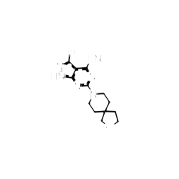 C[C@H]1CC2(CCN(c3nc(C#N)c4c(Br)n[nH]c4n3)CC2)CO1